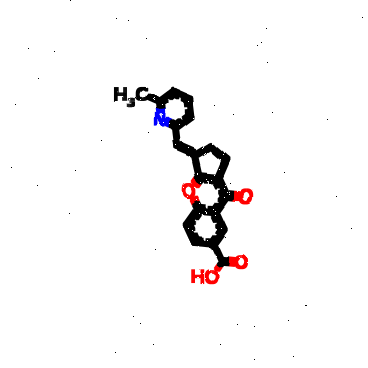 Cc1cccc(C=C2CCc3c2oc2ccc(C(=O)O)cc2c3=O)n1